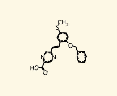 CSc1ccc(OCc2ccccc2)c(C=Cc2cnc(C(=O)O)cn2)c1